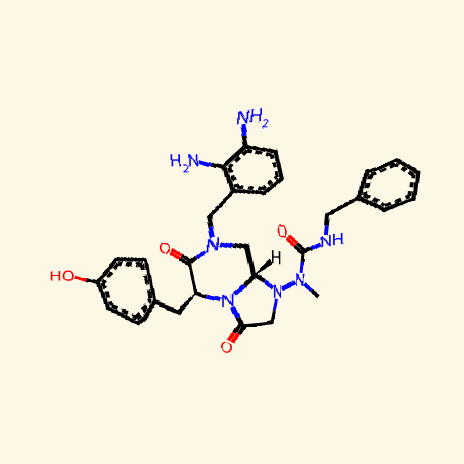 CN(C(=O)NCc1ccccc1)N1CC(=O)N2[C@@H](Cc3ccc(O)cc3)C(=O)N(Cc3cccc(N)c3N)C[C@@H]21